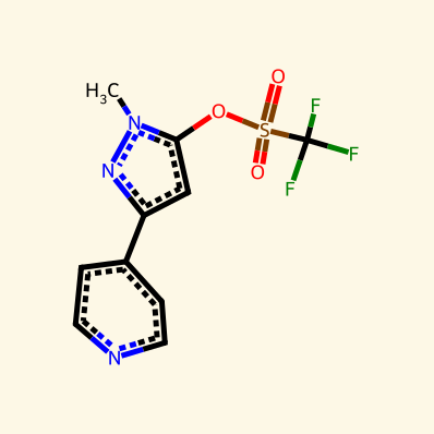 Cn1nc(-c2ccncc2)cc1OS(=O)(=O)C(F)(F)F